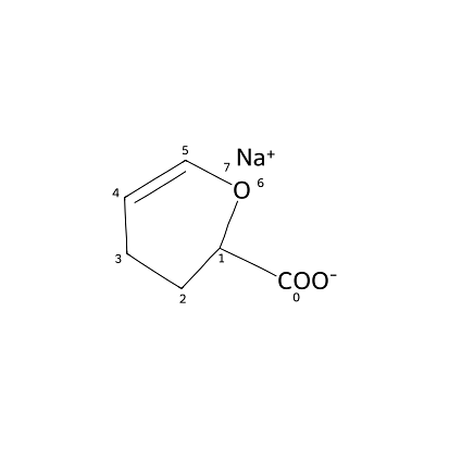 O=C([O-])C1CCC=CO1.[Na+]